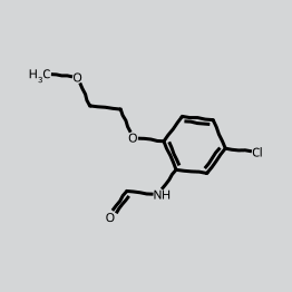 COCCOc1ccc(Cl)cc1NC=O